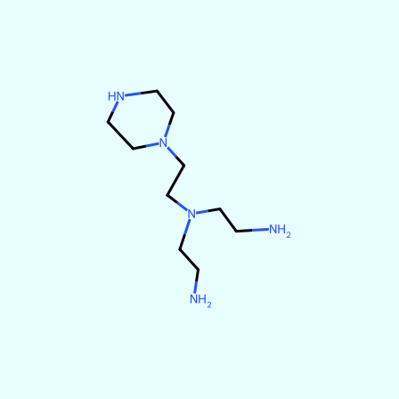 NCCN(CCN)CCN1CCNCC1